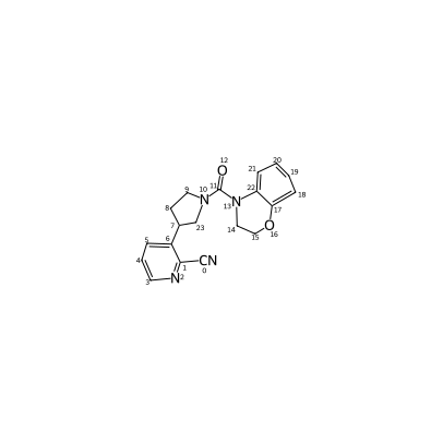 N#Cc1ncccc1C1CCN(C(=O)N2CCOc3ccccc32)C1